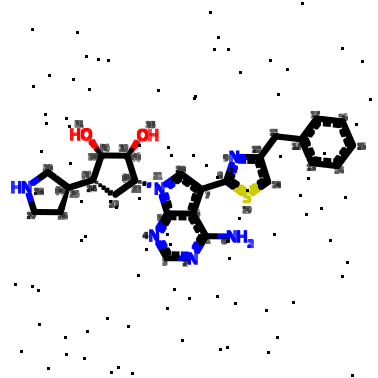 Nc1ncnc2c1c(-c1nc(Cc3ccccc3)cs1)cn2[C@@H]1C[C@H]([C@H]2CCNC2)[C@@H](O)[C@H]1O